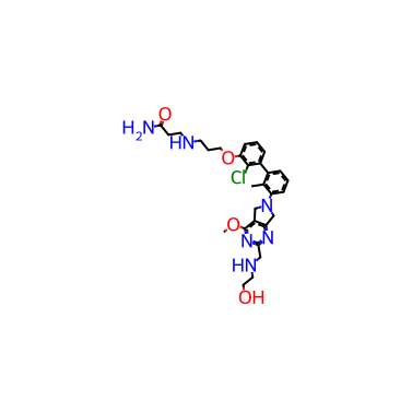 COc1nc(CNCCO)nc2c1CN(c1cccc(-c3cccc(OCCCNCCC(N)=O)c3Cl)c1C)C2